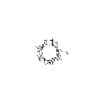 C#CCCC[C@H]1OC(=O)[C@H]([C@@H](C)CC)N(C)C(=O)[C@@H]2CCCN2C(=O)[C@H](C(C)C)OC(=O)[C@H]([C@@H](C)CC)N(C)C(=O)[C@H](C(C)C)NC(=O)[C@H]1C